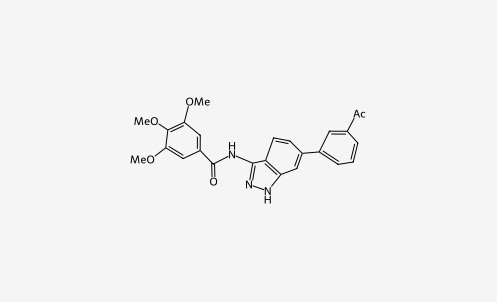 COc1cc(C(=O)Nc2n[nH]c3cc(-c4cccc(C(C)=O)c4)ccc23)cc(OC)c1OC